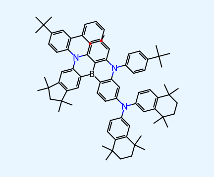 Cc1cc2c3c(c1)N(c1ccc(C(C)(C)C)cc1-c1ccccc1)c1cc4c(cc1B3c1ccc(N(c3ccc5c(c3)C(C)(C)CCC5(C)C)c3ccc5c(c3)C(C)(C)CCC5(C)C)cc1N2c1ccc(C(C)(C)C)cc1)C(C)(C)CC4(C)C